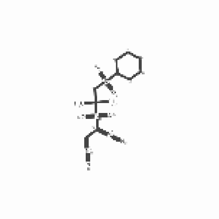 CC(C)(CS(=O)(=O)C1CCCCC1)S(=O)(=O)C(C=[N+]=[N-])=[N+]=[N-]